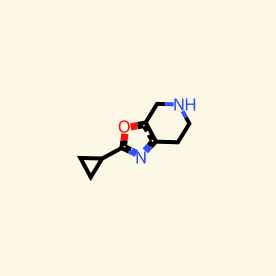 C1Cc2nc(C3CC3)oc2CN1